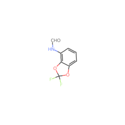 O=CNc1cccc2c1OC(F)(F)O2